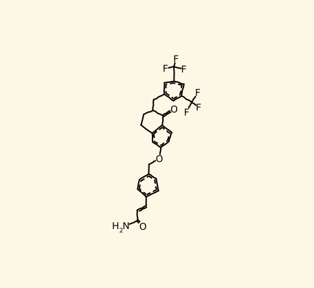 NC(=O)/C=C/c1ccc(COc2ccc3c(c2)CCC(Cc2cc(C(F)(F)F)cc(C(F)(F)F)c2)C3=O)cc1